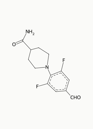 NC(=O)C1CCN(c2c(F)cc(C=O)cc2F)CC1